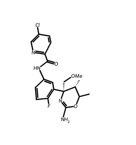 COC[C@@]1(c2cc(NC(=O)c3ccc(Cl)cn3)ccc2F)N=C(N)OC(C)[C@H]1C